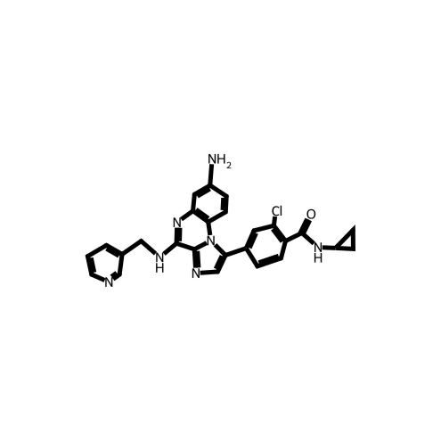 Nc1ccc2c(c1)nc(NCc1cccnc1)c1ncc(-c3ccc(C(=O)NC4CC4)c(Cl)c3)n12